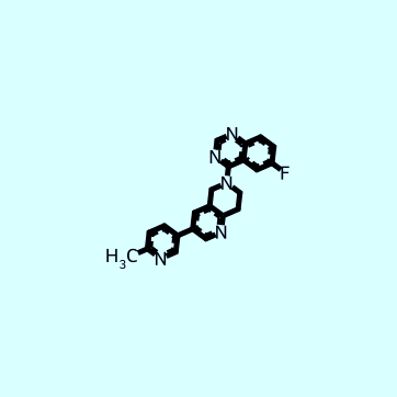 Cc1ccc(-c2cnc3c(c2)CN(c2ncnc4ccc(F)cc24)CC3)cn1